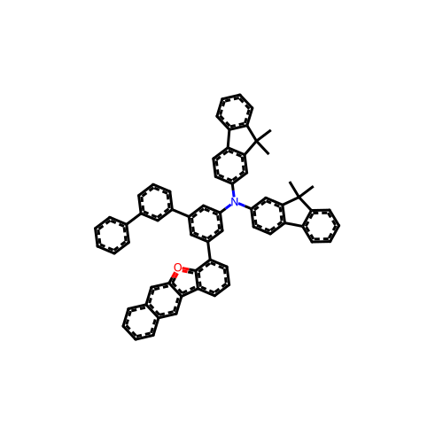 CC1(C)c2ccccc2-c2ccc(N(c3cc(-c4cccc(-c5ccccc5)c4)cc(-c4cccc5c4oc4cc6ccccc6cc45)c3)c3ccc4c(c3)C(C)(C)c3ccccc3-4)cc21